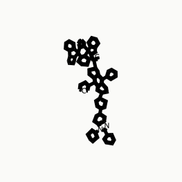 C1=CC2c3ccccc3C3(c4ccccc4C4(c5ccccc5-c5ccc(-c6ccc7c(-c8ccccc8)c8cc(-c9ccc(-c%10ccc%11c(c%10)nc(-c%10ccccc%10)n%11-c%10ccccc%10)cc9)ccc8c(-c8ccccc8)c7c6)cc54)c4ccccc43)C2C=C1